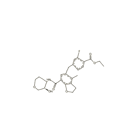 CCOC(=O)c1ccc(Cc2cc(C(=O)N[C@H]3CCOC[C@@H]3O)c3c(c2C)CCO3)cc1F